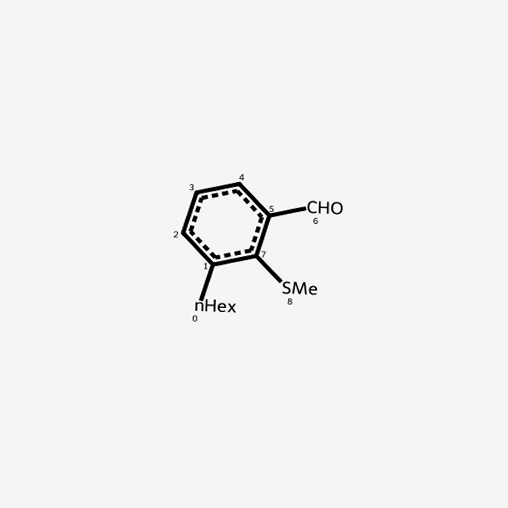 CCCCCCc1cccc(C=O)c1SC